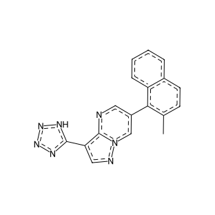 Cc1ccc2ccccc2c1-c1cnc2c(-c3nnn[nH]3)cnn2c1